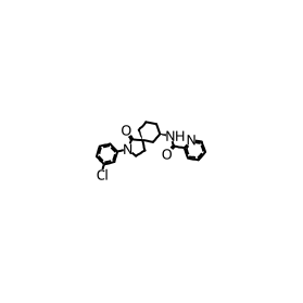 O=C(N[C@@H]1CCC[C@]2(CCN(c3cccc(Cl)c3)C2=O)C1)c1ccccn1